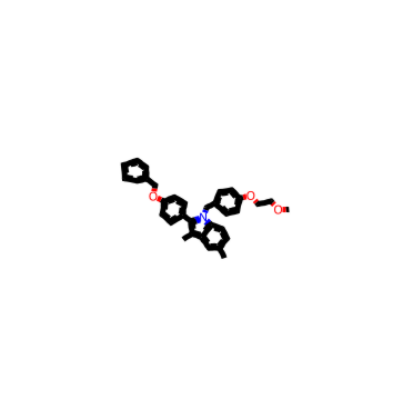 COCCOc1ccc(Cn2c(-c3ccc(OCc4ccccc4)cc3)c(C)c3cc(C)ccc32)cc1